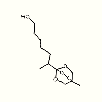 CC(CCCCCO)C12OCC(C)(CO1)CO2